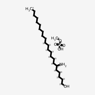 CCCCCCCCCCCCCCCCCC(N)CCCCCO.COS(=O)(=O)O